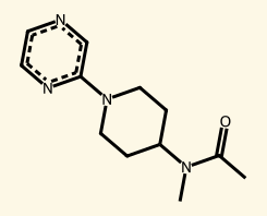 CC(=O)N(C)C1CCN(c2cnccn2)CC1